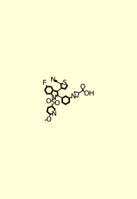 COc1ccc(S(=O)(=O)n2c(-c3cccc(N4CC(C(=O)O)C4)c3)c(-c3ccsc3C#N)c3cc(F)ccc32)cn1